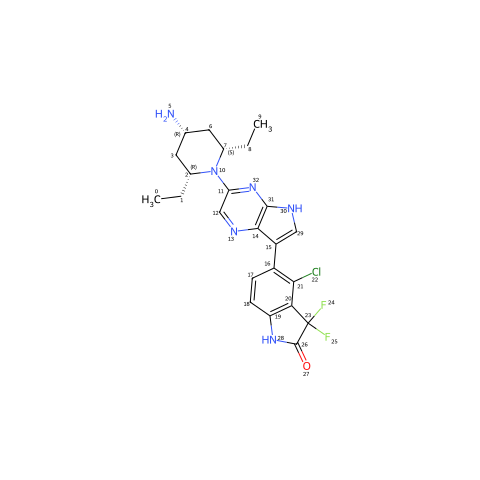 CC[C@@H]1C[C@H](N)C[C@H](CC)N1c1cnc2c(-c3ccc4c(c3Cl)C(F)(F)C(=O)N4)c[nH]c2n1